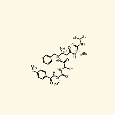 CCC(CC)NC(=O)[C@@H](NC(=O)C[C@H](N)[C@H](Cc1ccccc1)NC(=O)C(NC(=O)[C@H](CC(C)C)NC(=O)c1ccc(OC(F)(F)F)cc1)C(C)C)[C@@H](C)CC